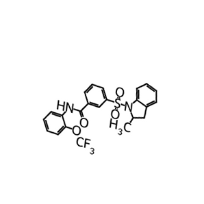 CC1Cc2ccccc2N1S(=O)(=O)c1cccc(C(=O)Nc2ccccc2OC(F)(F)F)c1